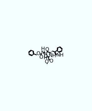 COC(=O)C(=O)N[C@@H](Cc1c[nH]c2ccccc12)C(=O)NNC(=O)OCc1ccccc1